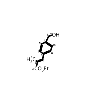 CCOC(=O)C(C)=Cc1ccc(CO)cc1